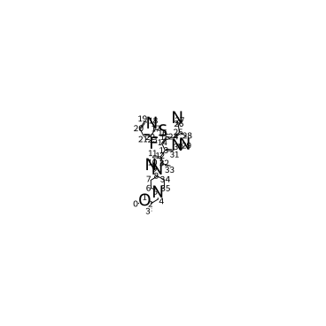 CO[C@@H](C)CN1CCC(n2ncc(-c3cc(Sc4ncccc4F)c4c(C#N)cnn4c3)c2C)CC1